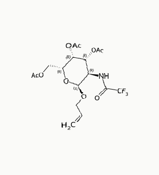 C=CCO[C@H]1O[C@H](COC(C)=O)[C@H](OC(C)=O)[C@H](OC(C)=O)[C@H]1NC(=O)C(F)(F)F